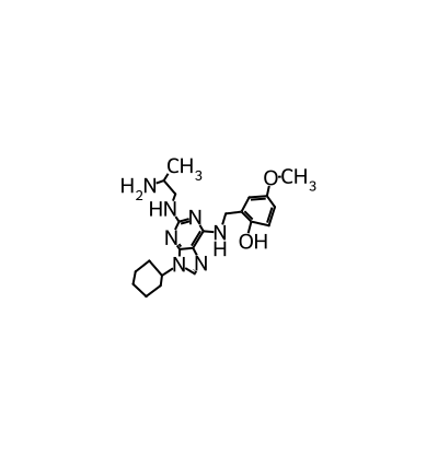 COc1ccc(O)c(CNc2nc(NCC(C)N)nc3c2ncn3C2CCCCC2)c1